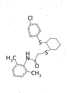 Cc1cccc(C)c1NC(=O)CSC1CCCCC1Sc1ccc(Cl)cc1